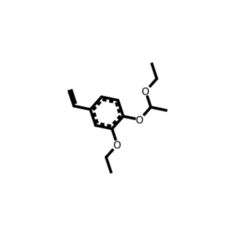 C=Cc1ccc(OC(C)OCC)c(OCC)c1